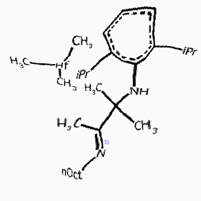 CCCCCCCC/N=C(\C)C(C)(C)Nc1c(C(C)C)cccc1C(C)C.[CH3][Hf]([CH3])[CH3]